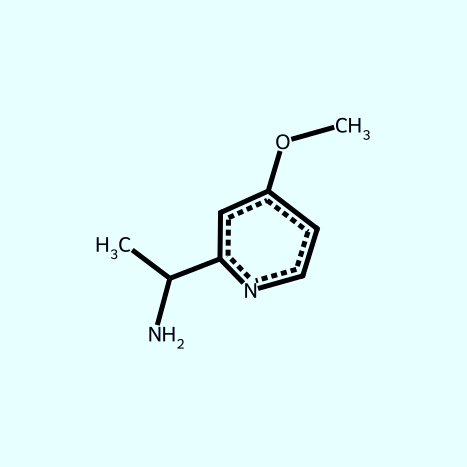 COc1ccnc(C(C)N)c1